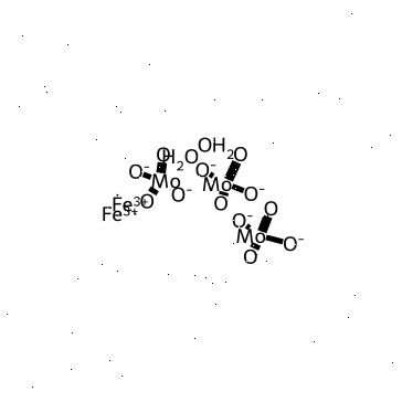 O.O.[Fe+3].[Fe+3].[O]=[Mo](=[O])([O-])[O-].[O]=[Mo](=[O])([O-])[O-].[O]=[Mo](=[O])([O-])[O-]